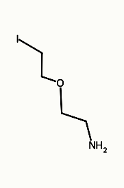 NCCOCCI